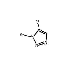 CCn1nncc1Cl